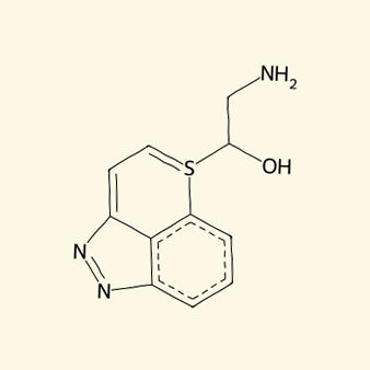 NCC(O)S1=CC=C2N=Nc3cccc1c32